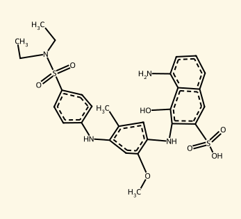 CCN(CC)S(=O)(=O)c1ccc(Nc2cc(OC)c(Nc3c(S(=O)(=O)O)cc4cccc(N)c4c3O)cc2C)cc1